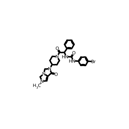 CN1C=C2C(=O)N(C3CCN(C(=O)C(NC(=O)Nc4ccc(Br)cc4)c4ccccc4)CC3)CN2C1